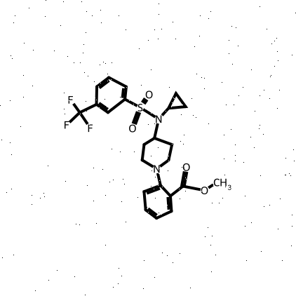 COC(=O)c1ccccc1N1CCC(N(C2CC2)S(=O)(=O)c2cccc(C(F)(F)F)c2)CC1